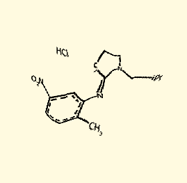 Cc1ccc([N+](=O)[O-])cc1N=C1SCCN1CC(C)C.Cl